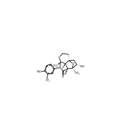 C[C@@]12O[C@]3(CCO[C@]4(C)[C@H]3[C@H]1C(=O)N4c1ccc(C#N)c(C(F)(F)F)c1)C[C@@H]2O